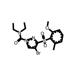 CCN(CC)C(=O)n1cc(Br)c(S(=O)(=O)c2c(C)cccc2OC)n1